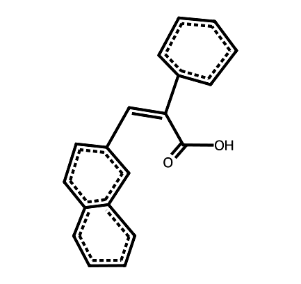 O=C(O)C(=Cc1ccc2ccccc2c1)c1ccccc1